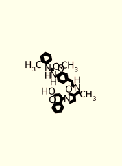 COc1cc(CC(=O)NC(C)C2CCN(C(CC(=O)O)c3ccccc3)C2)ccc1NC(=O)Nc1ccccc1C